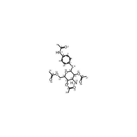 CC(=O)Nc1ccc(SC2OC(COC(C)=O)C(OC(C)=O)C(N)C2OC(C)=O)cc1